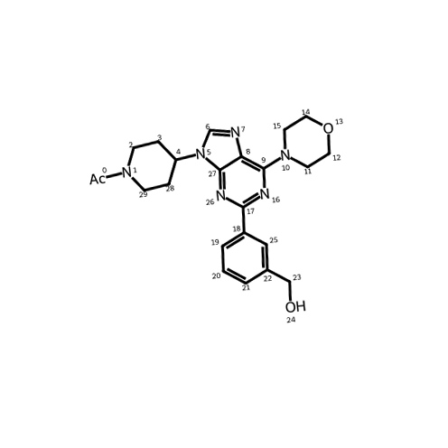 CC(=O)N1CCC(n2cnc3c(N4CCOCC4)nc(-c4cccc(CO)c4)nc32)CC1